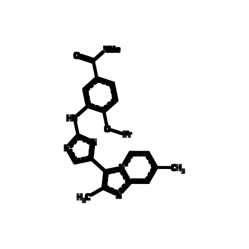 CNC(=O)c1ccc(OC(C)C)c(Nc2nc(-c3c(C)nc4cc(C)ccn34)cs2)c1